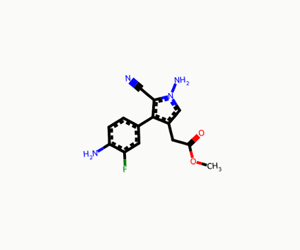 COC(=O)Cc1cn(N)c(C#N)c1-c1ccc(N)c(F)c1